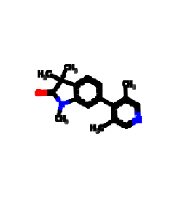 Cc1cncc(C)c1-c1ccc2c(c1)N(C)C(=O)C2(C)C